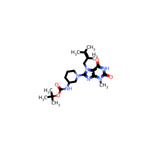 CC(C)=C(C)Cn1c(N2CCCC(NC(=O)OC(C)(C)C)C2)nc2c1c(=O)[nH]c(=O)n2C